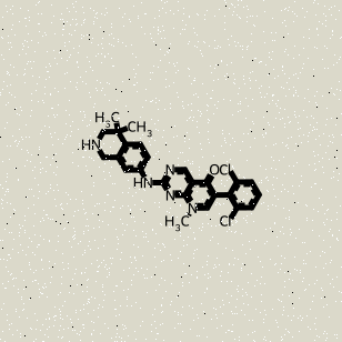 Cn1cc(-c2c(Cl)cccc2Cl)c(=O)c2cnc(Nc3ccc4c(c3)CNCC4(C)C)nc21